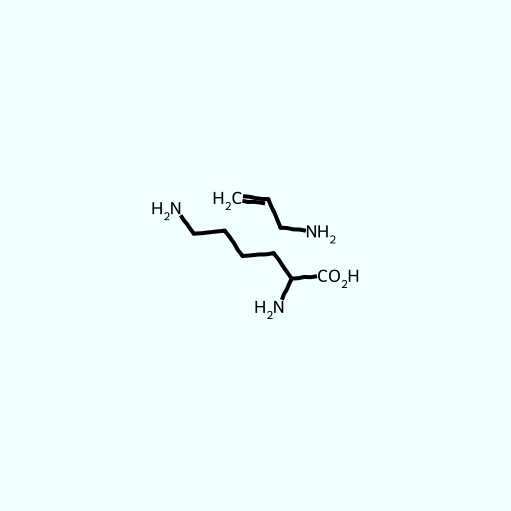 C=CCN.NCCCCC(N)C(=O)O